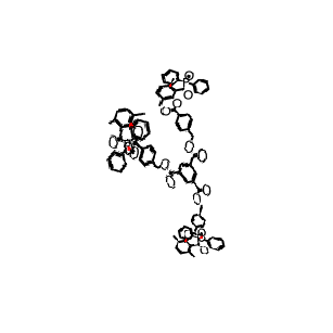 Cc1ccc(C)c(C(=O)P(=O)(c2ccccc2)c2ccccc2)c1OC(=O)c1ccc(COC(=O)c2cc(C(=O)OCc3ccc(C(=O)Oc4c(C)ccc(C)c4C(=O)P(=O)(c4ccccc4)c4ccccc4)cc3)cc(C(=O)OCc3ccc(C(=O)Oc4c(C)ccc(C)c4C(=O)P(=O)(c4ccccc4)c4ccccc4)cc3)c2)cc1